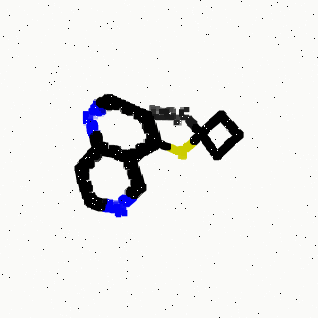 CCOC(=O)C1(Sc2ccnc3ccncc23)CCC1